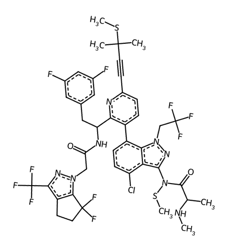 CNC(C)C(=O)N(SC)c1nn(CC(F)(F)F)c2c(-c3ccc(C#CC(C)(C)SC)nc3C(Cc3cc(F)cc(F)c3)NC(=O)Cn3nc(C(F)(F)F)c4c3C(F)(F)CC4)ccc(Cl)c12